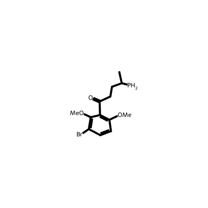 COc1ccc(Br)c(OC)c1C(=O)CCC(C)P